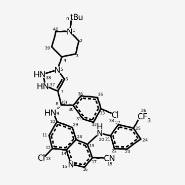 CC(C)(C)N1CCC(N2C=C([C@@H](Nc3cc(Cl)c4ncc(C#N)c(Nc5cccc(C(F)(F)F)c5)c4c3)c3ccc(Cl)cc3)NN2)CC1